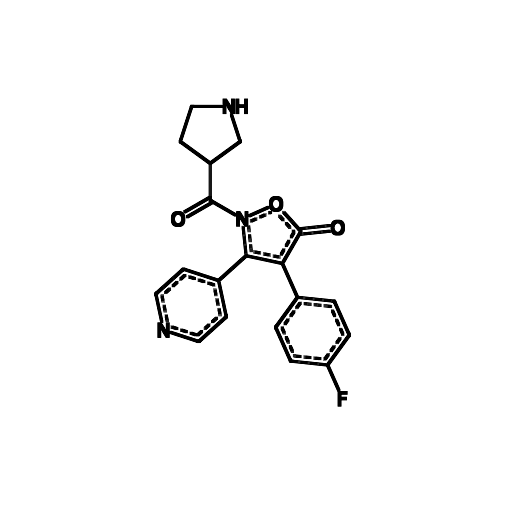 O=C(C1CCNC1)n1oc(=O)c(-c2ccc(F)cc2)c1-c1ccncc1